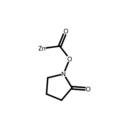 O=[C]([Zn])ON1CCCC1=O